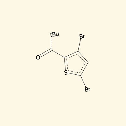 CC(C)(C)C(=O)c1sc(Br)cc1Br